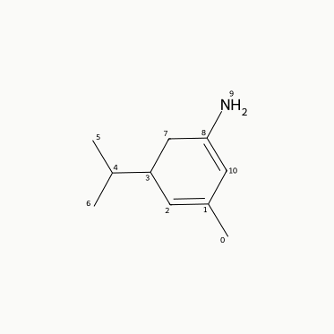 CC1=CC(C(C)C)CC(N)=C1